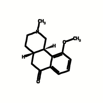 COc1cccc2c1[C@@H]1CN(C)CC[C@H]1CC2=O